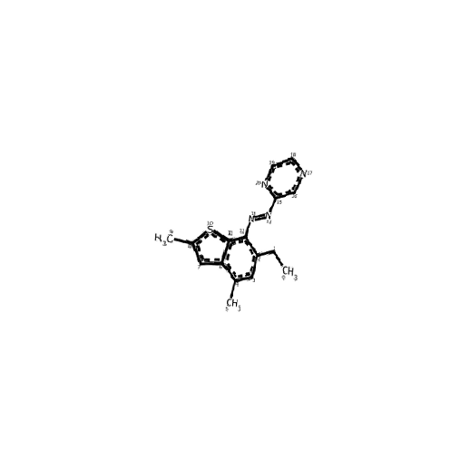 CCc1cc(C)c2cc(C)sc2c1/N=N/c1cnccn1